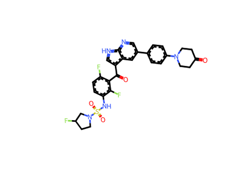 O=C1CCN(c2ccc(-c3cnc4[nH]cc(C(=O)c5c(F)ccc(NS(=O)(=O)N6CCC(F)C6)c5F)c4c3)cc2)CC1